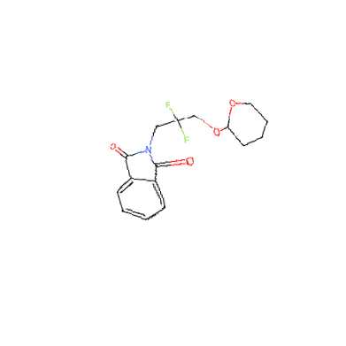 O=C1c2ccccc2C(=O)N1CC(F)(F)COC1CCCCO1